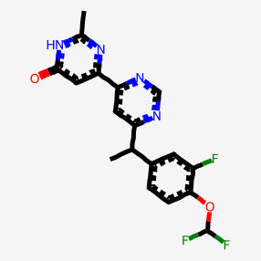 Cc1nc(-c2cc(C(C)c3ccc(OC(F)F)c(F)c3)ncn2)cc(=O)[nH]1